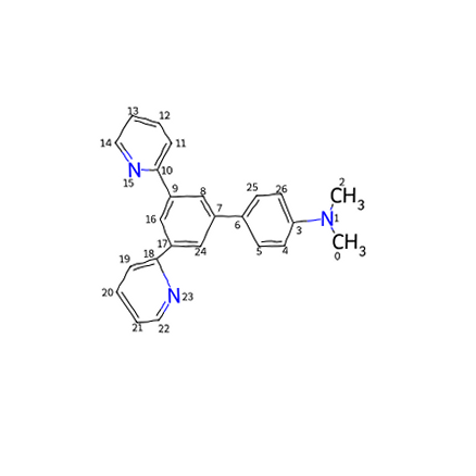 CN(C)c1ccc(-c2cc(-c3ccccn3)cc(-c3ccccn3)c2)cc1